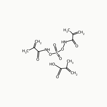 C=C(C)C(=O)NOS(=O)(=O)ONC(=O)C(=C)C.C=C(C)C(=O)O